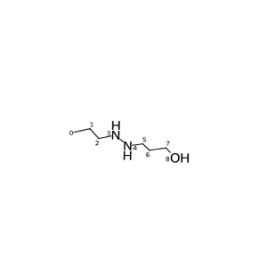 CCCNNCCCO